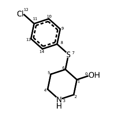 OC1CNCCC1Sc1ccc(Cl)cc1